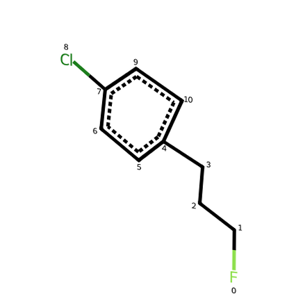 FCCCc1ccc(Cl)cc1